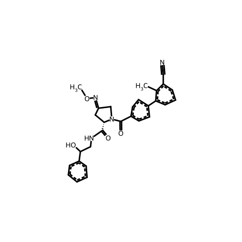 CO/N=C1\C[C@@H](C(=O)NCC(O)c2ccccc2)N(C(=O)c2ccc(-c3cccc(C#N)c3C)cc2)C1